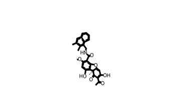 COc1cc(O)c2c(c1C(=O)NCc1c(C)c(C)cc3ccccc13)OC1=CC(O)=C(C(C)=O)C(=O)[C@]12C